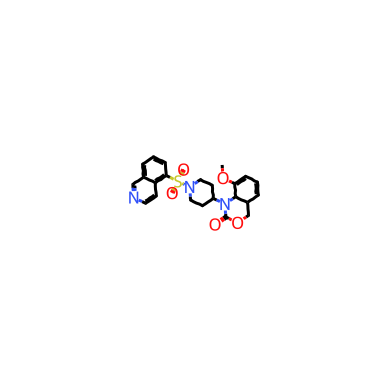 COC1=CC=CC2COC(=O)N(C3CCN(S(=O)(=O)c4cccc5cnccc45)CC3)C12